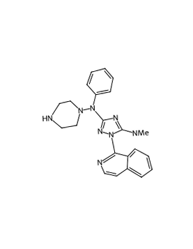 CNc1nc(N(c2ccccc2)N2CCNCC2)nn1-c1nccc2ccccc12